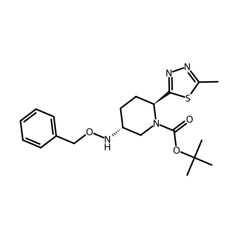 Cc1nnc([C@@H]2CC[C@@H](NOCc3ccccc3)CN2C(=O)OC(C)(C)C)s1